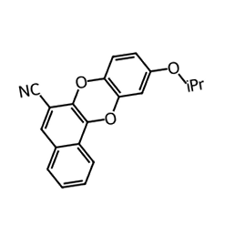 CC(C)Oc1ccc2c(c1)Oc1c(c(C#N)cc3ccccc13)O2